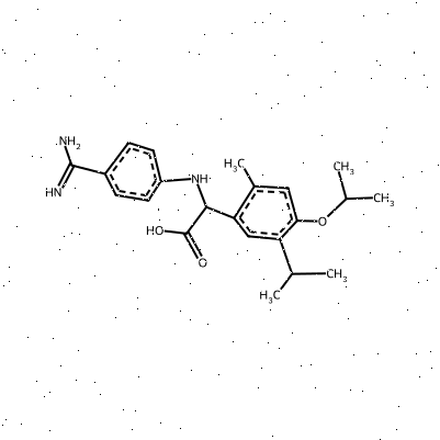 Cc1cc(OC(C)C)c(C(C)C)cc1C(Nc1ccc(C(=N)N)cc1)C(=O)O